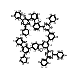 c1ccc(-c2cc(-c3ccc4c(c3)oc3c(-c5nc(-c6ccccc6)nc(-c6ccccc6)n5)cc(-c5cccc(-c6nc(-c7ccccc7)nc(-c7cccc8c7oc7cccc(-c9nc(-c%10ccccc%10)nc%10c9sc9ccccc9%10)c78)n6)c5)cc34)c3sc4ccccc4c3c2)cc1